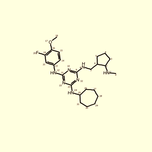 CNC1CCCC1CNc1nc(Nc2ccc(OC)c(F)c2)nc(NC2CCCCCC2)n1